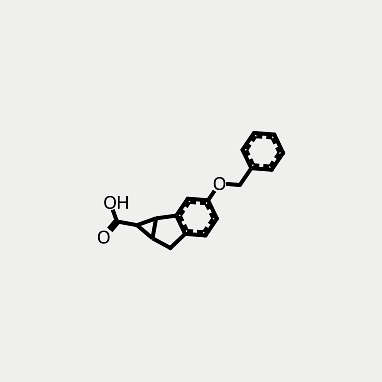 O=C(O)C1C2Cc3ccc(OCc4ccccc4)cc3C21